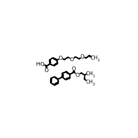 C=CCOCCOCCOc1ccc(C(=O)O)cc1.CCC(C)COC(=O)c1ccc(-c2ccccc2)cc1